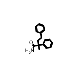 CC(CCc1ccccc1)(C(N)=O)c1ccccc1